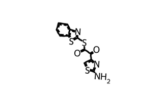 Nc1nc(C(=O)C(=O)Sc2nc3ccccc3s2)cs1